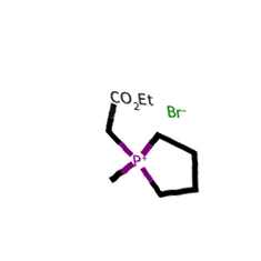 CCOC(=O)C[P+]1(C)CCCC1.[Br-]